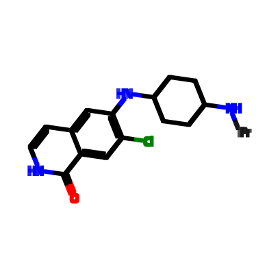 CC(C)NC1CCC(Nc2cc3cc[nH]c(=O)c3cc2Cl)CC1